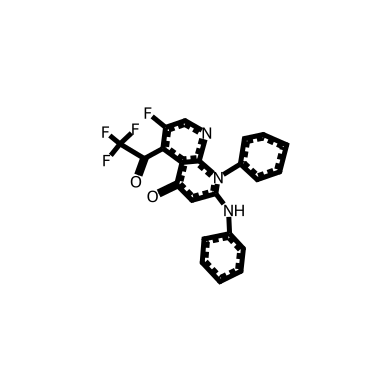 O=C(c1c(F)cnc2c1c(=O)cc(Nc1ccccc1)n2-c1ccccc1)C(F)(F)F